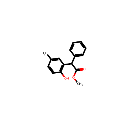 COC(=O)C(c1ccccc1)c1cc(C)ccc1O